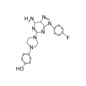 NC1N=C(N2CCN(c3ccc(O)cc3)CC2)N=C2C1N=CN2c1ccc(F)cc1